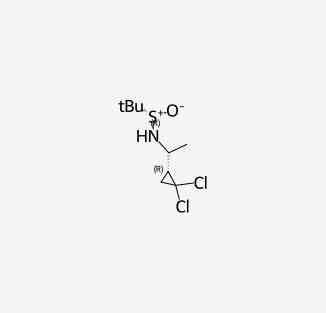 CC(N[S@@+]([O-])C(C)(C)C)[C@H]1CC1(Cl)Cl